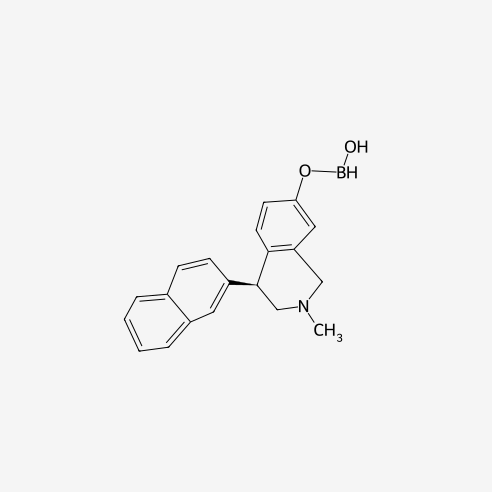 CN1Cc2cc(OBO)ccc2[C@H](c2ccc3ccccc3c2)C1